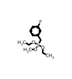 CCO[Si](Cc1cccc(F)c1)(OC)OCC